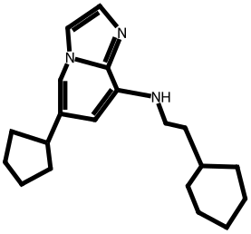 c1cn2cc(C3CCCC3)cc(NCCC3CCCCC3)c2n1